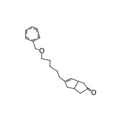 O=C1CC2C=C(CCCCCOCc3ccccc3)CC2C1